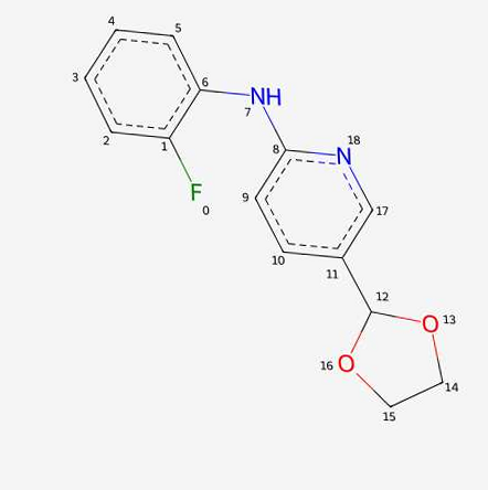 Fc1ccccc1Nc1ccc(C2OCCO2)cn1